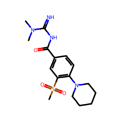 CN(C)C(=N)NC(=O)c1ccc(N2CCCCC2)c(S(C)(=O)=O)c1